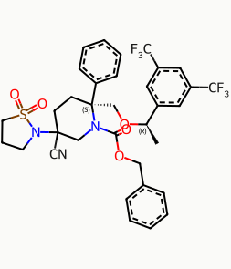 C[C@@H](OC[C@@]1(c2ccccc2)CCC(C#N)(N2CCCS2(=O)=O)CN1C(=O)OCc1ccccc1)c1cc(C(F)(F)F)cc(C(F)(F)F)c1